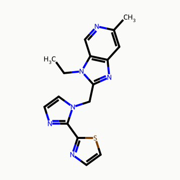 CCn1c(Cn2ccnc2-c2nccs2)nc2cc(C)ncc21